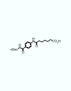 CCCCCCCCCCNC(=O)c1ccc(NC(=O)CCCCCC(=O)O)cc1